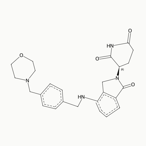 O=C1CC[C@@H](N2Cc3c(NCc4ccc(CN5CCOCC5)cc4)cccc3C2=O)C(=O)N1